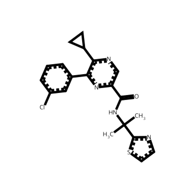 CC(C)(NC(=O)c1cnc(C2CC2)c(-c2cccc(Cl)c2)n1)c1nccs1